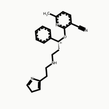 Cc1ccc(C#N)c(O[C@H](CCNCCC2=CCC=N2)c2ccccc2)n1